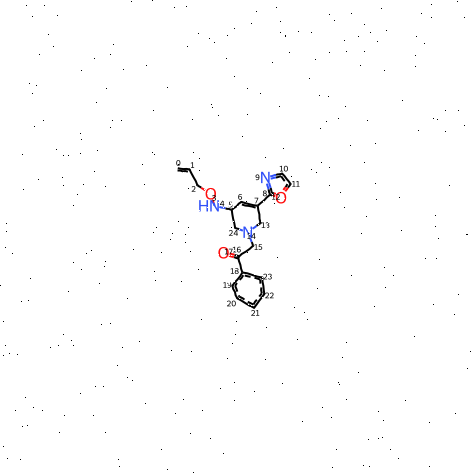 C=CCONC1C=C(c2ncco2)CN(CC(=O)c2ccccc2)C1